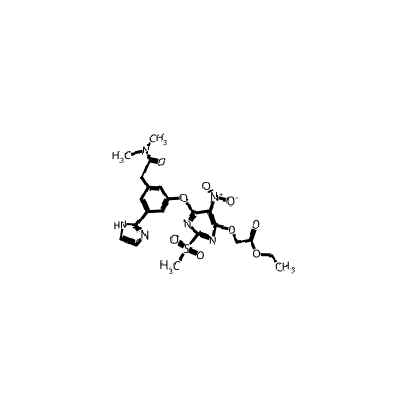 CCOC(=O)COc1nc(S(C)(=O)=O)nc(Oc2cc(CC(=O)N(C)C)cc(-c3ncc[nH]3)c2)c1[N+](=O)[O-]